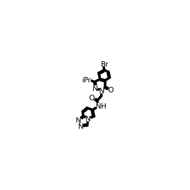 CC(C)c1nn(CC(=O)Nc2ccc3nncn3c2)c(=O)c2ccc(Br)cc12